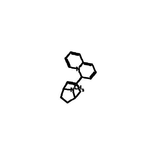 CN1C2C=C(C3C=CC=C4C=CC=CN43)CC1CC2